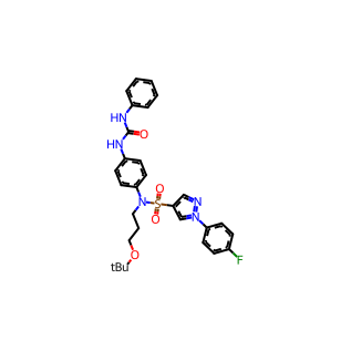 CC(C)(C)OCCCN(c1ccc(NC(=O)Nc2ccccc2)cc1)S(=O)(=O)c1cnn(-c2ccc(F)cc2)c1